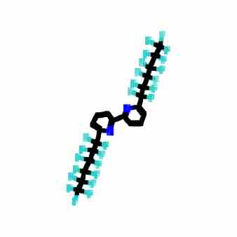 FC(F)(F)C(F)(F)C(F)(F)C(F)(F)C(F)(F)C(F)(F)c1cccc(-c2cccc(C(F)(F)C(F)(F)C(F)(F)C(F)(F)C(F)(F)C(F)(F)F)n2)n1